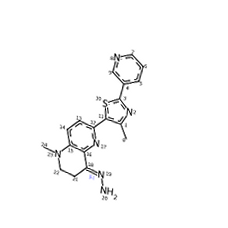 Cc1nc(-c2cccnc2)sc1-c1ccc2c(n1)/C(=N/N)CCN2C